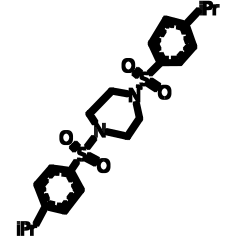 CC(C)c1ccc(S(=O)(=O)N2CCN(S(=O)(=O)c3ccc(C(C)C)cc3)CC2)cc1